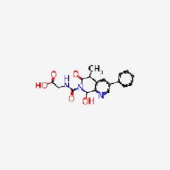 CC1C(=O)N(C(=O)NCC(=O)O)C(O)c2ncc(-c3ccccc3)cc21